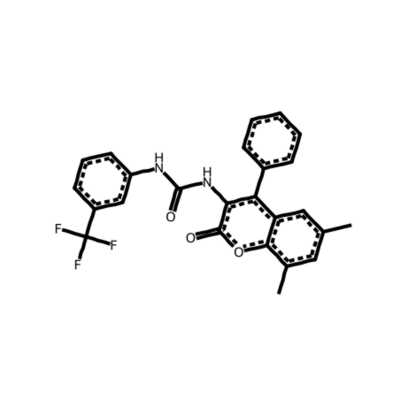 Cc1cc(C)c2oc(=O)c(NC(=O)Nc3cccc(C(F)(F)F)c3)c(-c3ccccc3)c2c1